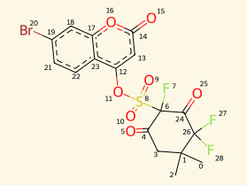 CC1(C)CC(=O)C(F)(S(=O)(=O)Oc2cc(=O)oc3cc(Br)ccc23)C(=O)C1(F)F